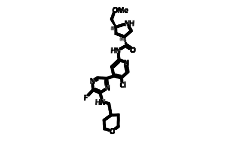 COC[C@@H]1C[C@@H](C(=O)Nc2cc(-c3cnc(F)c(NCC4CCOCC4)n3)c(Cl)cn2)CN1